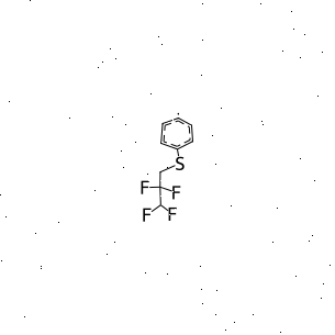 FC(F)C(F)(F)CSc1cc[c]cc1